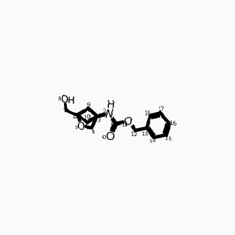 O=C(NC12COC(CO)(C1)C2)OCc1ccccc1